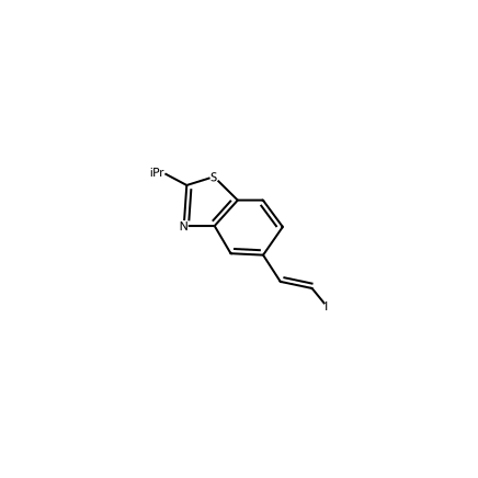 CC(C)c1nc2cc(/C=C/I)ccc2s1